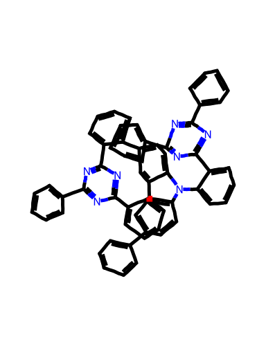 c1ccc(-c2ccc3c(c2)c2cc(-c4ccccc4-c4nc(-c5ccccc5)nc(-c5ccccc5)n4)ccc2n3-c2ccccc2-c2nc(-c3ccccc3)nc(-c3ccccc3)n2)cc1